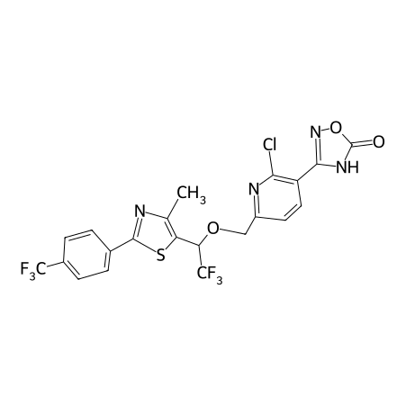 Cc1nc(-c2ccc(C(F)(F)F)cc2)sc1C(OCc1ccc(-c2noc(=O)[nH]2)c(Cl)n1)C(F)(F)F